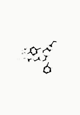 CCc1nc([C@H](Cc2ccc(NS(=O)(=O)O)cc2)NC(=O)[C@H](Cc2ccccc2)NC(=O)CNC(=O)OC)cs1